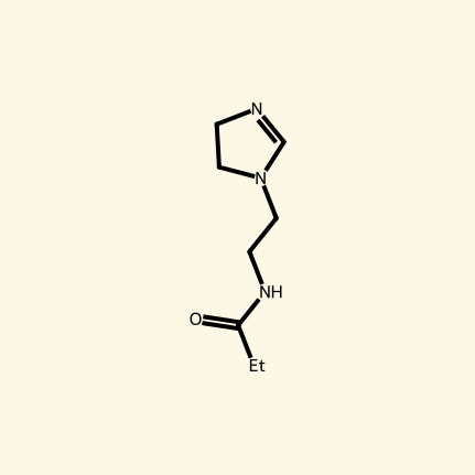 CCC(=O)NCCN1C=NCC1